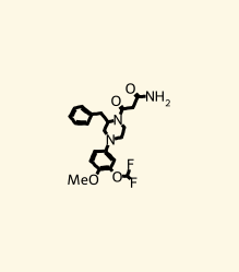 COc1ccc(N2CCN(C(=O)CC(N)=O)C(Cc3ccccc3)C2)cc1OC(F)F